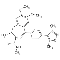 CNC(=O)N1C=C(c2ccc(-c3c(C)noc3C)cc2)c2cc(OC)c(OC)cc2CC1C